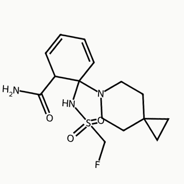 NC(=O)C1C=CC=CC1(NS(=O)(=O)CF)N1CCC2(CC1)CC2